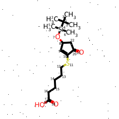 CC(C)(C)[Si](C)(C)OC1C=C(SCCCCCC(=O)O)C(=O)C1